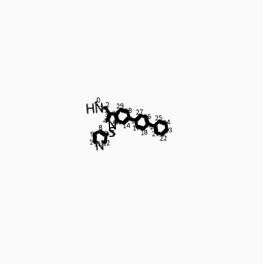 CNCc1cn(Sc2cccnc2)c2cc(-c3ccc(-c4ccccc4)cc3)ccc12